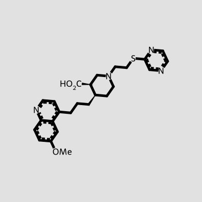 COc1ccc2nccc(CCC[C@@H]3CCN(CCSc4cnccn4)C[C@@H]3C(=O)O)c2c1